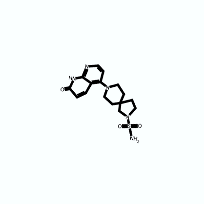 NS(=O)(=O)N1CCC2(CCN(c3ccnc4[nH]c(=O)ccc34)CC2)C1